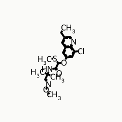 CCc1cnc2c(Cl)cc(OC(SC)C(=O)NC(C)(C)/C=N/OC)cc2c1